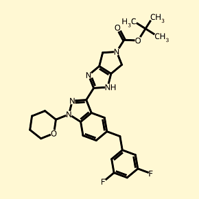 CC(C)(C)OC(=O)N1Cc2nc(-c3nn(C4CCCCO4)c4ccc(Cc5cc(F)cc(F)c5)cc34)[nH]c2C1